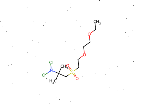 CCOCCOCCS(=O)(=O)CC(C)(C)N(Cl)Cl